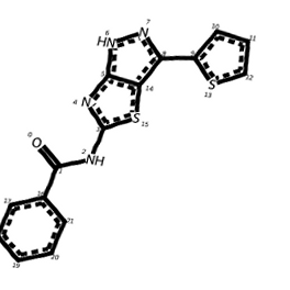 O=C(Nc1nc2[nH]nc(-c3cccs3)c2s1)c1ccccc1